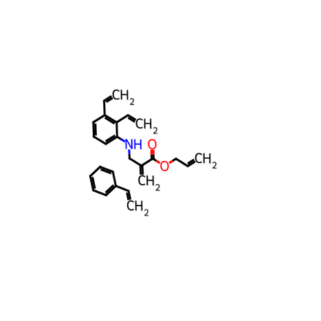 C=CCOC(=O)C(=C)CNc1cccc(C=C)c1C=C.C=Cc1ccccc1